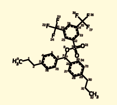 CCCc1ccc([I+](OS(=O)(=O)c2cc(C(F)(F)F)cc(C(F)(F)F)c2)c2ccc(CCC)cc2)cc1